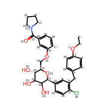 CCOc1ccc(Cc2cc([C@@H]3O[C@H](COc4cccc(C(=O)N5CCCC5)c4)[C@@H](O)C(O)C3O)ccc2Cl)cc1